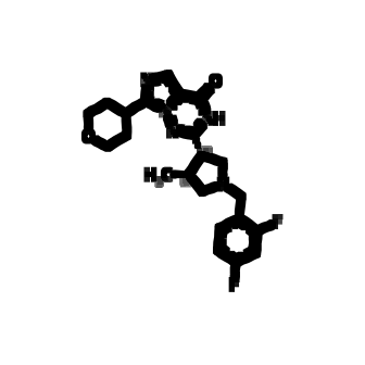 C[C@@H]1CN(Cc2ccc(F)cc2F)C[C@H]1c1nn2c(C3CCOCC3)ncc2c(=O)[nH]1